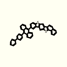 c1ccc(-c2ccc(-c3c4ccccc4c(-c4ccc5sc6cc7c(cc6c5c4)sc4c5ccccc5ccc74)c4ccccc34)cc2)cc1